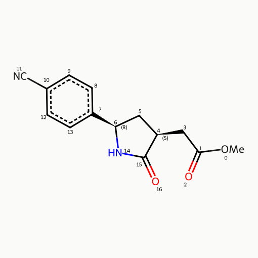 COC(=O)C[C@@H]1C[C@H](c2ccc(C#N)cc2)NC1=O